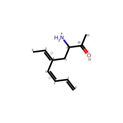 C=C/C=C\C(=C/C)CC(N)C(C)=O